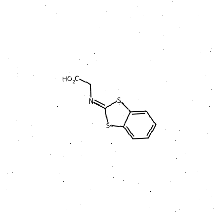 O=C(O)CN=c1sc2ccccc2s1